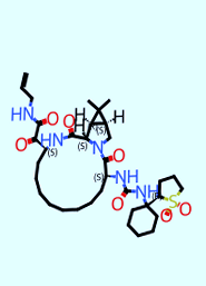 C=CCNC(=O)C(=O)[C@@H]1CCCCCCCC[C@H](NC(=O)NC2([C@H]3CCCS3(=O)=O)CCCCC2)C(=O)N2C[C@H]3[C@@H]([C@H]2C(=O)N1)C3(C)C